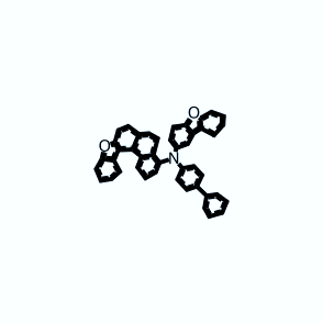 c1ccc(-c2ccc(N(c3ccc4oc5ccccc5c4c3)c3cccc4c3ccc3ccc5oc6ccccc6c5c34)cc2)cc1